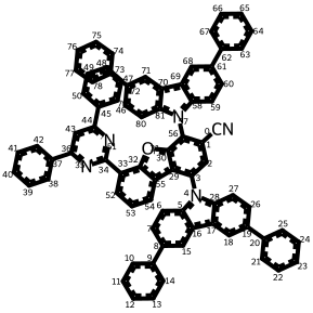 N#Cc1cc(-n2c3ccc(-c4ccccc4)cc3c3cc(-c4ccccc4)ccc32)c2c(oc3c(-c4nc(-c5ccccc5)cc(-c5ccccc5)n4)cccc32)c1-n1c2ccc(-c3ccccc3)cc2c2cc(-c3ccccc3)ccc21